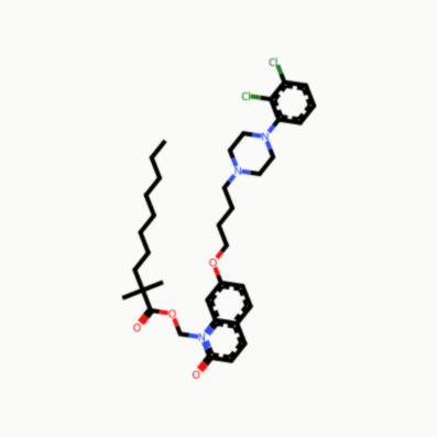 CCCCCCCCC(C)(C)C(=O)OCn1c(=O)ccc2ccc(OCCCCN3CCN(c4cccc(Cl)c4Cl)CC3)cc21